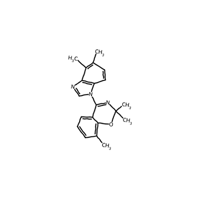 Cc1cccc2c1OC(C)(C)N=C2n1cnc2c(C)c(C)ccc21